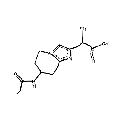 CC(=O)NC1CCn2cc(C(O)C(=O)O)nc2C1